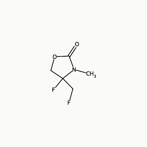 CN1C(=O)OCC1(F)CF